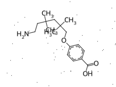 CC(C)(CCN)CC(C)(C)COc1ccc(C(=O)O)cc1